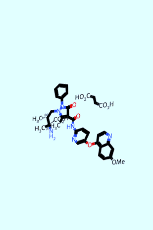 COc1ccc2c(Oc3ccc(NC(=O)c4c(C)n(C[C@@H](C)[C@](C)(N)C(=O)O)n(-c5ccccc5)c4=O)nc3)ccnc2c1.O=C(O)CCC(=O)O